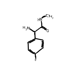 CNC(=O)C(N)c1ccc(F)cc1